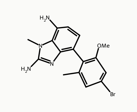 COc1cc(Br)cc(C)c1-c1ccc(N)c2c1nc(N)n2C